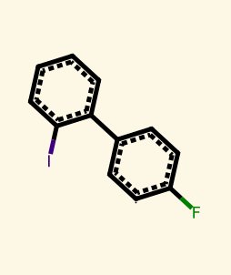 Fc1[c]cc(-c2ccccc2I)cc1